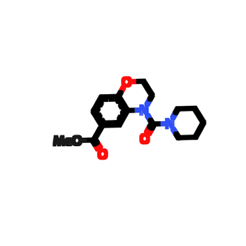 COC(=O)c1ccc2c(c1)N(C(=O)N1CCCCC1)CCO2